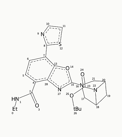 CCNC(=O)c1ccc(-c2nccs2)c2oc(N3CC4CC(C3)N4C(=O)OC(C)(C)C)nc12